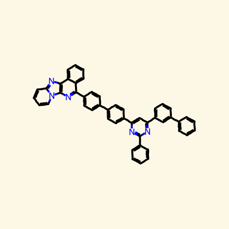 c1ccc(-c2cccc(-c3cc(-c4ccc(-c5ccc(-c6nc7c(nc8ccccn87)c7ccccc67)cc5)cc4)nc(-c4ccccc4)n3)c2)cc1